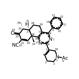 CC(=O)N1CCC=C(c2nc(-c3ccccc3)c3c(n2)[C@]2(C)C=C(C#N)C(=O)[C@H](C)[C@H]2CC3)C1